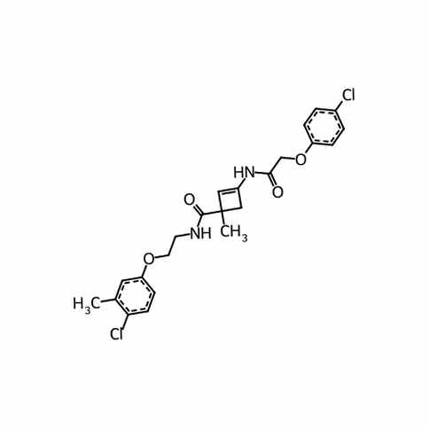 Cc1cc(OCCNC(=O)C2(C)C=C(NC(=O)COc3ccc(Cl)cc3)C2)ccc1Cl